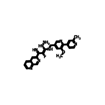 COc1cc(CN/C(NN)=C(\F)C(=N)c2cc3cccnc3cn2)cnc1-c1ccnc(C)c1